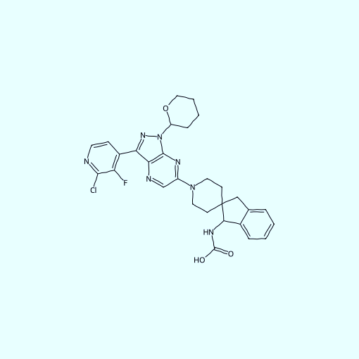 O=C(O)NC1c2ccccc2CC12CCN(c1cnc3c(-c4ccnc(Cl)c4F)nn(C4CCCCO4)c3n1)CC2